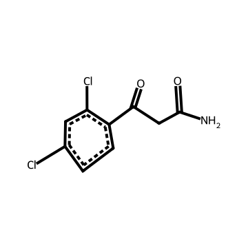 NC(=O)CC(=O)c1ccc(Cl)cc1Cl